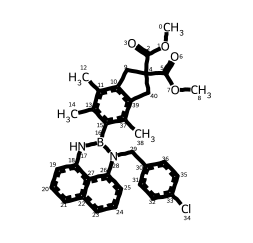 COC(=O)C1(C(=O)OC)Cc2c(C)c(C)c(B3Nc4cccc5cccc(c45)N3Cc3ccc(Cl)cc3)c(C)c2C1